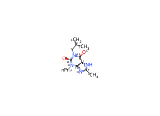 C=C(C)Cn1c(=O)c2[nH]c(C)nc2n(CCC)c1=O